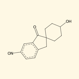 O=Nc1ccc2c(c1)C(=O)C1(CCC(O)CC1)C2